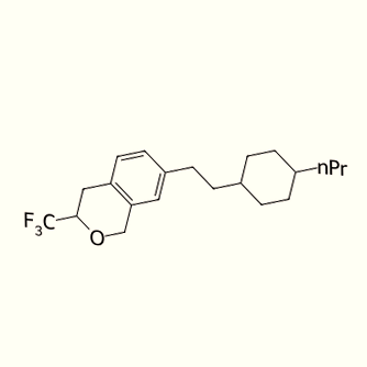 CCCC1CCC(CCc2ccc3c(c2)COC(C(F)(F)F)C3)CC1